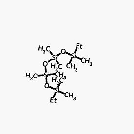 CC[Si](C)(C)O[Si](C)(C)O[Si](C)(C)O[Si](C)(C)CC